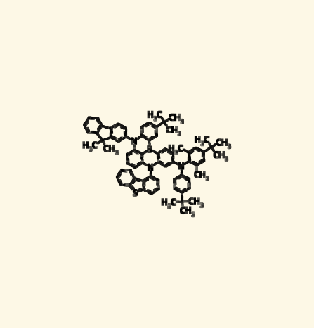 Cc1cc(C(C)(C)C)cc(C)c1N(c1ccc(C(C)(C)C)cc1)c1ccc2c(c1)N(c1cccc3sc4ccccc4c13)c1cccc3c1B2c1cc(C(C)(C)C)ccc1N3c1ccc2c(c1)C(C)(C)c1ccccc1-2